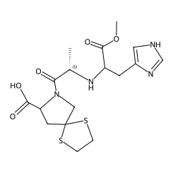 COC(=O)C(Cc1c[nH]cn1)N[C@@H](C)C(=O)N1CC2(CC1C(=O)O)SCCS2